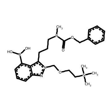 CN(CCCc1c2c(B(O)O)cccc2nn1COCC[Si](C)(C)C)C(=O)OCc1ccccc1